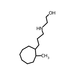 CC1CCCCCCC1CCCNCCO